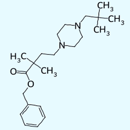 CC(C)(C)CN1CCN(CCC(C)(C)C(=O)OCc2ccccc2)CC1